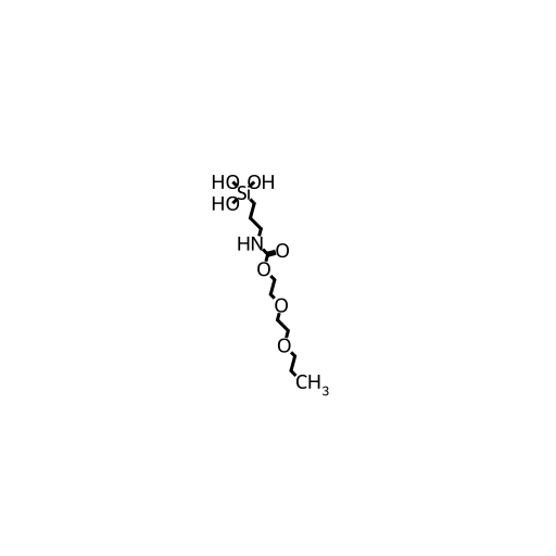 CCCOCCOCCOC(=O)NCCC[Si](O)(O)O